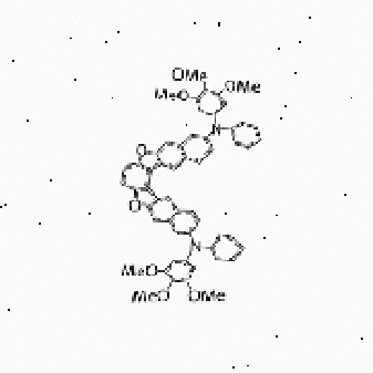 COc1cc(N(c2ccccc2)c2ccc3cc4c(cc3c2)oc2ccc3oc5cc6cc(N(c7ccccc7)c7cc(OC)c(OC)c(OC)c7)ccc6cc5c3c24)cc(OC)c1OC